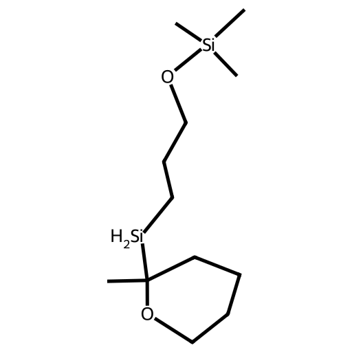 CC1([SiH2]CCCO[Si](C)(C)C)CCCCO1